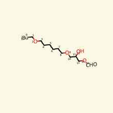 CCC(C)COCCCCCCOCC(O)COC=O